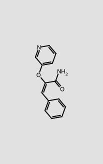 NC(=O)/C(=C\c1ccccc1)Oc1cccnc1